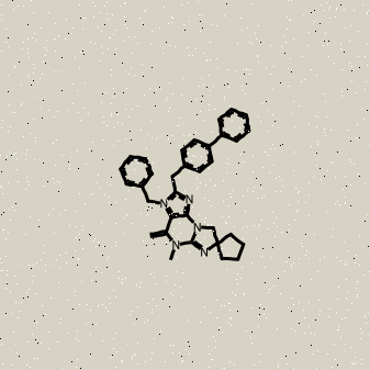 C=C1c2c(nc(Cc3ccc(-c4ccccc4)cc3)n2Cc2ccccc2)N2CC3(CCCC3)N=C2N1C